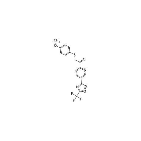 COc1ccc(SCC(=O)c2ccc(-c3noc(C(F)(F)F)n3)cn2)cc1